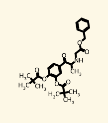 CC(NCC(=O)OCc1ccccc1)C(=O)c1ccc(OC(=O)C(C)(C)C)c(OC(=O)C(C)(C)C)c1